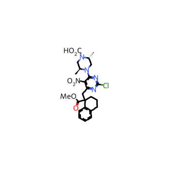 COC(=O)C1(Cc2nc(Cl)nc(N3C[C@@H](C)N(C(=O)O)C[C@@H]3C)c2[N+](=O)[O-])CCCc2ccccc21